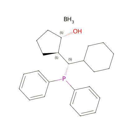 B.O[C@H]1CCC[C@@H]1[C@H](C1CCCCC1)P(c1ccccc1)c1ccccc1